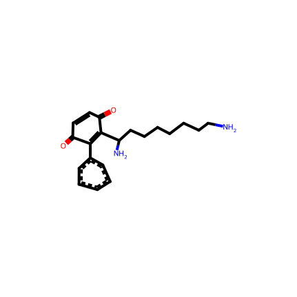 NCCCCCCCC(N)C1=C(c2ccccc2)C(=O)C=CC1=O